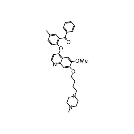 COc1cc2c(Oc3ccc(C)cc3C(=O)c3ccccc3)ccnc2cc1OCCCCN1CCN(C)CC1